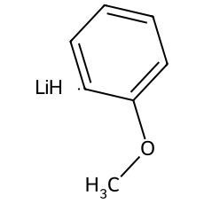 COc1[c]cccc1.[LiH]